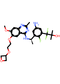 COc1cc2nc(C)nc(N[C@H](C)c3cc(N)cc(C(F)(F)C(C)(C)O)c3F)c2cc1OCCOC1COC1